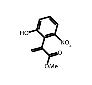 C=C(C(=O)OC)c1c(O)cccc1[N+](=O)[O-]